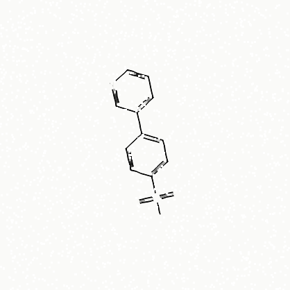 O=S(=O)(O)c1ccc(-c2cc[c]nc2)cc1